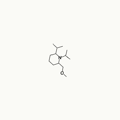 COCC1CCCC(C(C)C)N1C(C)C